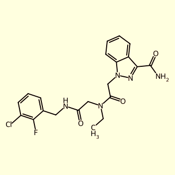 CCN(CC(=O)NCc1cccc(Cl)c1F)C(=O)Cn1nc(C(N)=O)c2ccccc21